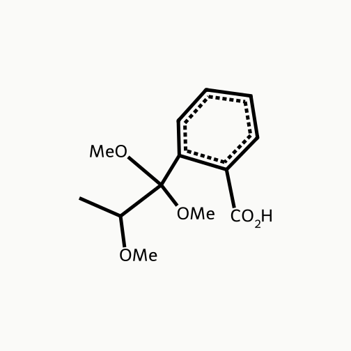 COC(C)C(OC)(OC)c1ccccc1C(=O)O